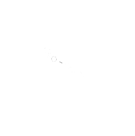 CCCCCCCC[C@H]1CC[C@H]([C@H]2CC[C@H](C#Cc3ccc(OC(F)(F)C(F)F)cc3)CC2)CC1